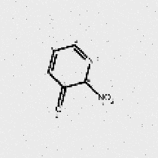 O=C1C=CC=NC1[N+](=O)[O-]